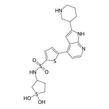 O=S(=O)(NC1CCS(O)(O)C1)c1ccc(-c2ccnc3[nH]c(C4CCCNC4)cc23)s1